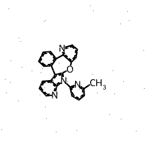 Cc1cccc(-n2c3c(c4cccnc42)-c2ccccc2-c2ncccc2O3)n1